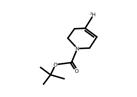 [2H]C1=CCN(C(=O)OC(C)(C)C)CC1